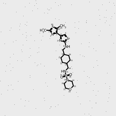 Cc1nc(-c2csc(NCC3CCC(CNS(=O)(=O)N4CCOCC4)CC3)n2)c(C)s1